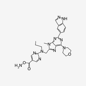 CCCN(Cc1nc2c(N3CCOCC3)nc(-c3ccc4[nH]ncc4c3)nc2n1C)c1ncc(C(=O)ON)cn1